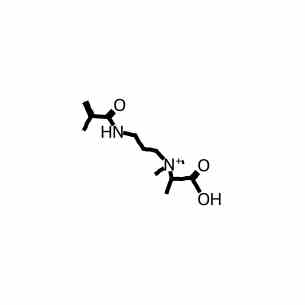 C=C(C)C(=O)NCCC[N+](C)(C)C(C)C(=O)O